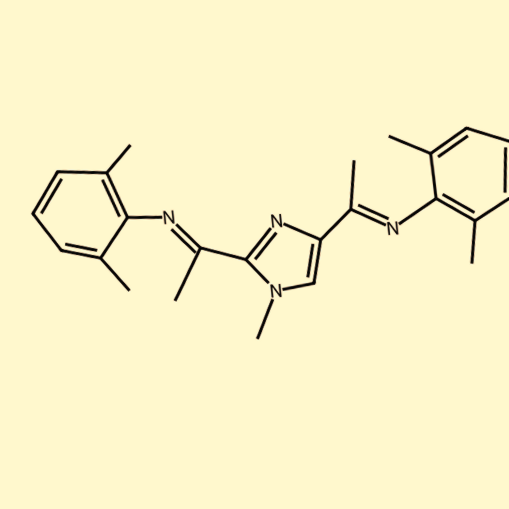 C/C(=N\c1c(C)cccc1C)c1cn(C)c(/C(C)=N/c2c(C)cccc2C)n1